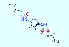 CCCCOC(=O)Nc1ccc(NC(=O)OCCCC)cc1